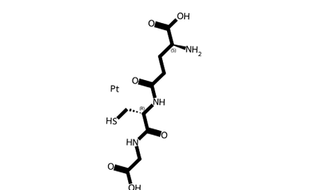 N[C@@H](CCC(=O)N[C@@H](CS)C(=O)NCC(=O)O)C(=O)O.[Pt]